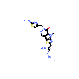 Cn1c2nc(C/C(N)=C/NN)sc2c2cnn(Cc3csc(N)n3)c(=O)c21